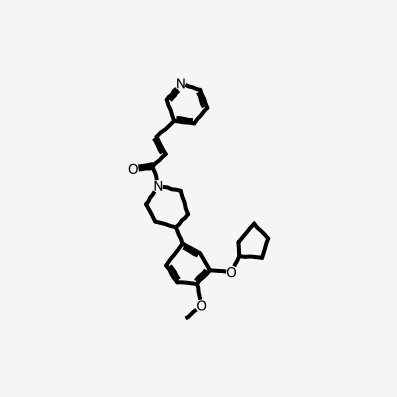 COc1ccc(C2CCN(C(=O)/C=C/c3cccnc3)CC2)cc1OC1CCCC1